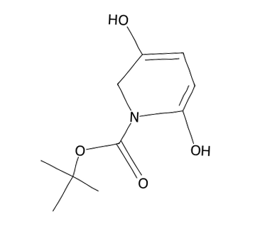 CC(C)(C)OC(=O)N1CC(O)=CC=C1O